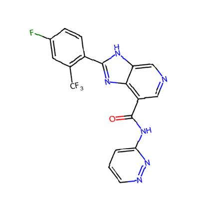 O=C(Nc1cccnn1)c1cncc2[nH]c(-c3ccc(F)cc3C(F)(F)F)nc12